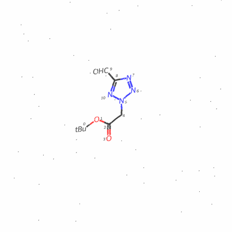 CC(C)(C)OC(=O)Cn1nnc(C=O)n1